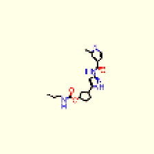 CCCNC(=O)OC1CCC(c2cc(NC(=O)c3ccnc(C)c3)n[nH]2)C1